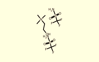 C[N+](C)(C)CCO.NS(=O)(=O)C(F)(F)F.NS(=O)(=O)C(F)(F)F